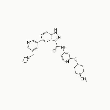 CN1CCC(Oc2cc(NC(=O)c3n[nH]c4ccc(-c5cncc(CN6CCC6)c5)cc34)ccn2)CC1